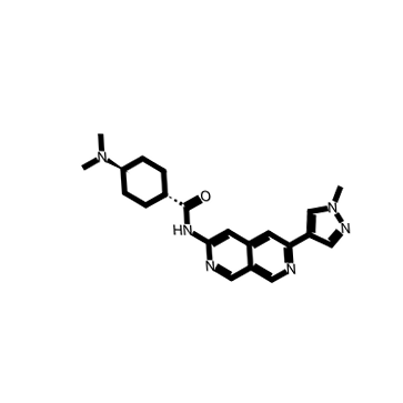 Cn1cc(-c2cc3cc(NC(=O)[C@H]4CC[C@H](N(C)C)CC4)ncc3cn2)cn1